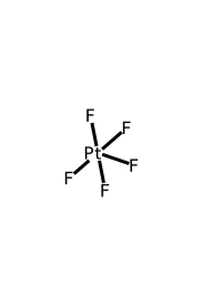 [F][Pt]([F])([F])([F])[F]